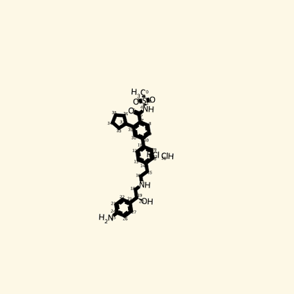 CS(=O)(=O)NC(=O)c1ccc(-c2ccc(CCNC[C@H](O)c3ccc(N)cc3)cc2)cc1C1CCCC1.Cl.Cl